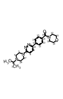 CC(C)N1CCN(c2ccc(-c3ccc(C(=O)N4CCOCC4)cc3)nn2)CC1